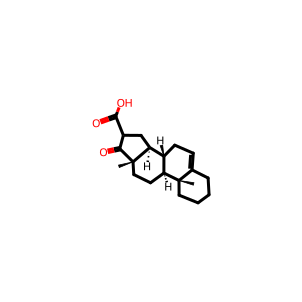 C[C@]12CCCCC1=CC[C@@H]1[C@@H]2CC[C@]2(C)C(=O)C(C(=O)O)C[C@@H]12